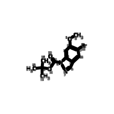 COc1cc2c(cnn2C(=O)OC(C)(C)C)cc1Br